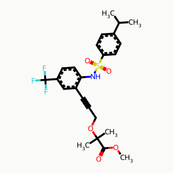 COC(=O)C(C)(C)OCC#Cc1cc(C(F)(F)F)ccc1NS(=O)(=O)c1ccc(C(C)C)cc1